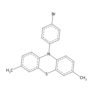 Cc1ccc2c(c1)Sc1cc(C)ccc1N2c1ccc(Br)cc1